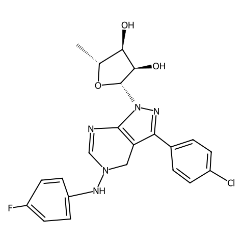 C[C@H]1O[C@@H](n2nc(-c3ccc(Cl)cc3)c3c2N=CN(Nc2ccc(F)cc2)C3)[C@H](O)[C@@H]1O